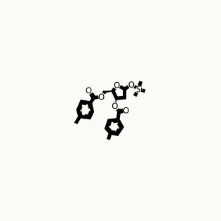 Cc1ccc(C(=O)OC[C@H]2OC(O[Si](C)(C)C)C[C@@H]2OC(=O)c2ccc(C)cc2)cc1